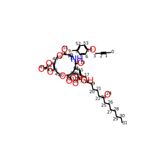 CC#CCOc1ccc(C[C@@H]2NC(=O)[C@@H](C=CCCCCCCC(=O)CCCCCCC)[C@@](O)(CC(=O)O)C(=O)OCc3oc(=O)oc3COC2=O)cc1